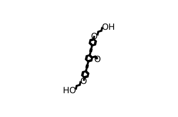 O=Cc1cc(C#Cc2ccc(OCCCCO)cc2)ccc1C#Cc1ccc(OCCCCO)cc1